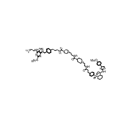 CCCSc1nc(NCCN)c2nnn(Cc3ccc(CCCNC(=O)C4CCN(CCNC(=O)C5CCN(CCNC(=O)CCc6ccc(S(=O)(=O)N7CCCC[C@@H]7C(=O)Nc7nc(-c8ccc(OC)cc8)cs7)cc6)CC5)CC4)cc3)c2n1